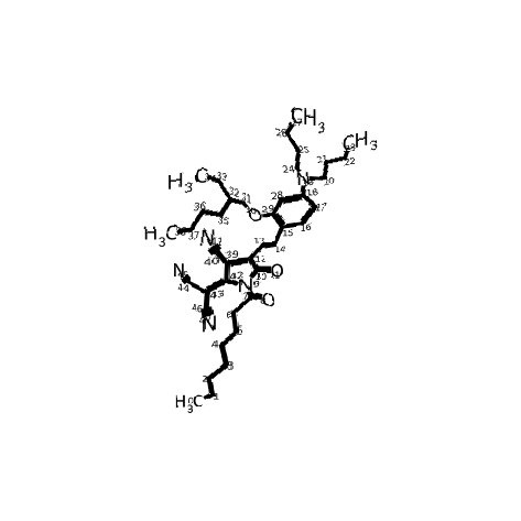 CCCCCCCC(=O)N1C(=O)C(/C=C/c2ccc(N(CCCC)CCCC)cc2OCC(CC)CCCC)=C(C#N)C1=C(C#N)C#N